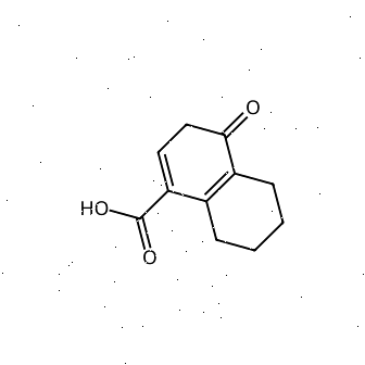 O=C(O)C1=CCC(=O)C2=C1CCCC2